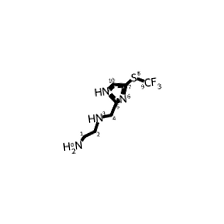 NCCNCc1nc(SC(F)(F)F)c[nH]1